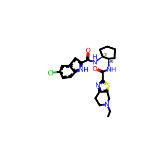 CCN1CCc2nc(C(=O)N[C@@H]3CCCC[C@@H]3NC(=O)c3cc4cc(Cl)ccc4[nH]3)sc2C1